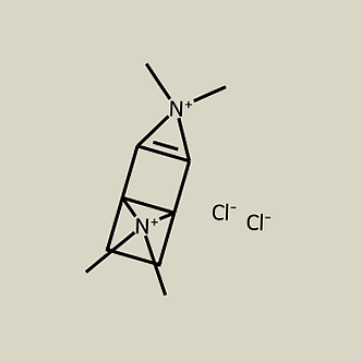 C[N+]1(C)C2=C1C13CCC21[N+]3(C)C.[Cl-].[Cl-]